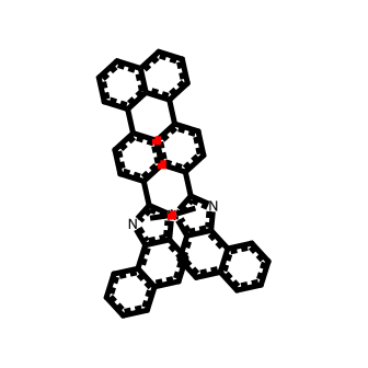 Cn1c(-c2ccc(-c3cccc4cccc(-c5ccc(-c6nc7c8ccccc8ccc7n6C)cc5)c34)cc2)nc2c3ccccc3ccc21